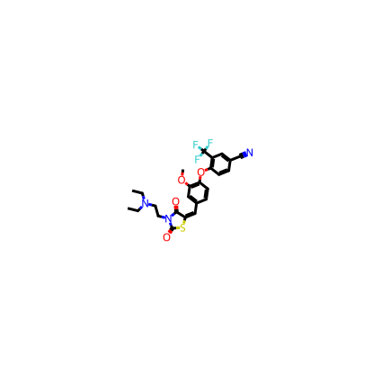 CCN(CC)CCN1C(=O)SC(=Cc2ccc(Oc3ccc(C#N)cc3C(F)(F)F)c(OC)c2)C1=O